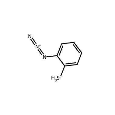 [N-]=[N+]=Nc1ccccc1[SiH3]